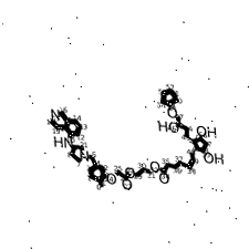 Cc1ccc(CN2CC[C@@H](Nc3cccc4cnccc34)C2)cc1OCC(=O)OCCCOC(=O)CCC/C=C\C[C@@H]1[C@@H](CC[C@@H](O)COc2ccccc2)[C@H](O)C[C@@H]1O